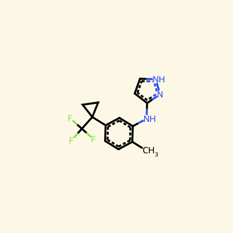 Cc1ccc(C2(C(F)(F)F)CC2)cc1Nc1cc[nH]n1